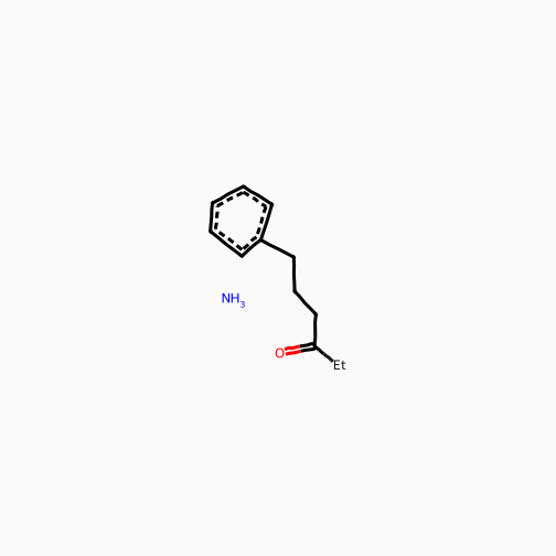 CCC(=O)CCCc1ccccc1.N